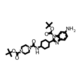 CC(C)(C)OC(=O)N1CCN(C(=O)NC2CCC(c3nc4ccc(N)cc4n3C(=O)OC(C)(C)C)CC2)CC1